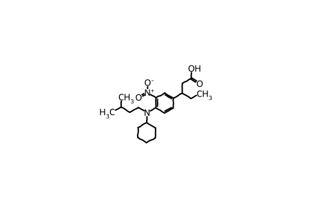 CCC(CC(=O)O)c1ccc(N(CCC(C)C)C2CCCCC2)c([N+](=O)[O-])c1